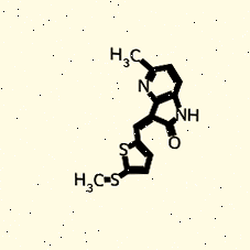 CSc1ccc(C=C2C(=O)Nc3ccc(C)nc32)s1